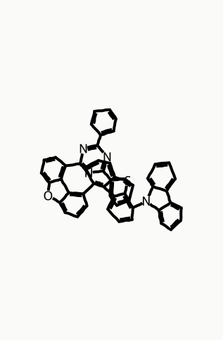 c1ccc(-c2nc(-c3ccccc3)nc(-c3cccc4oc5cccc(-c6cccc7sc8c(-n9c%10ccccc%10c%10ccccc%109)cccc8c67)c5c34)n2)cc1